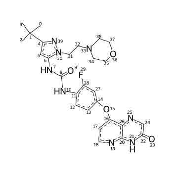 CC(C)(C)c1cc(NC(=O)Nc2ccc(Oc3ccnc4[nH]c(=O)cnc34)cc2F)n(CCN2CCOCC2)n1